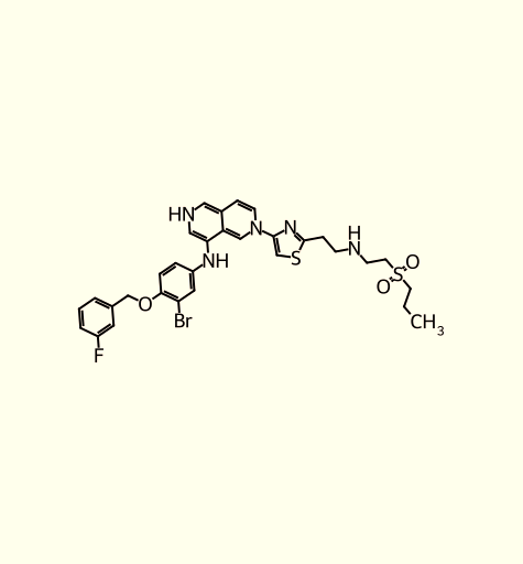 CCCS(=O)(=O)CCNCCc1nc(N2C=CC3=CNC=C(Nc4ccc(OCc5cccc(F)c5)c(Br)c4)C3=C2)cs1